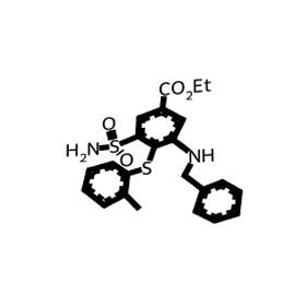 CCOC(=O)c1cc(NCc2ccccc2)c(Sc2ccccc2C)c(S(N)(=O)=O)c1